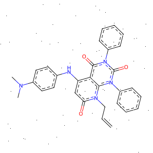 C=CCn1c(=O)cc(Nc2ccc(N(C)C)cc2)c2c(=O)n(-c3ccccc3)c(=O)n(-c3ccccc3)c21